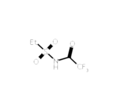 CCS(=O)(=O)NC(=O)C(F)(F)F